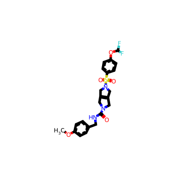 COc1ccc(CNC(=O)N2CC3=C(C2)CN(S(=O)(=O)c2ccc(OC(F)F)cc2)C3)cc1